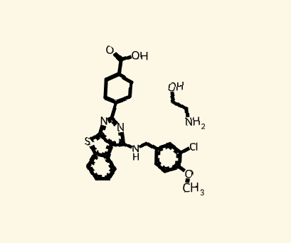 COc1ccc(CNc2nc(C3CCC(C(=O)O)CC3)nc3sc4ccccc4c23)cc1Cl.NCCO